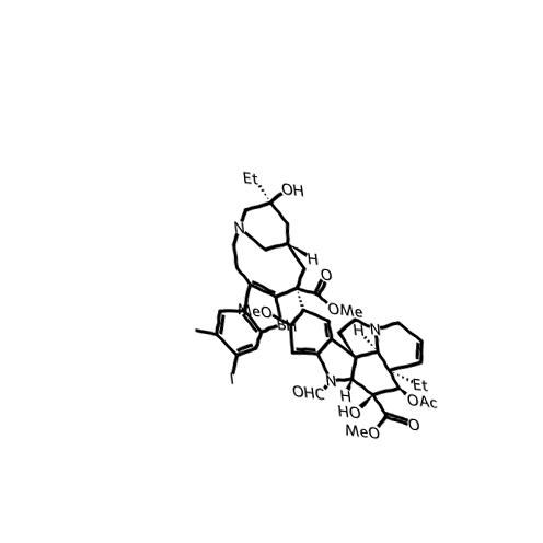 CC[C@]1(O)C[C@H]2CN(CCC3=C(Bc4cc(I)c(C)cc43)[C@@](C(=O)OC)(C3C=C4C(=CC3OC)N(C=O)[C@H]3[C@@](O)(C(=O)OC)[C@H](OC(C)=O)[C@]5(CC)C=CCN6CC[C@]43[C@@H]65)C2)C1